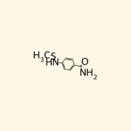 CSNc1ccc(C(N)=O)cc1